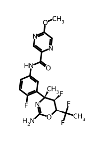 COc1cnc(C(=O)Nc2ccc(F)c([C@@]3(C)N=C(N)O[C@H](C(C)(F)F)[C@@H]3F)c2)cn1